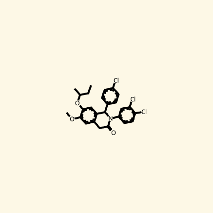 CCC(C)Oc1cc2c(cc1OC)CC(=O)N(c1ccc(Cl)c(Cl)c1)C2c1ccc(Cl)cc1